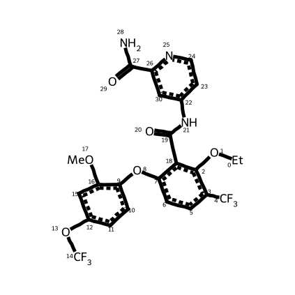 CCOc1c(C(F)(F)F)ccc(Oc2ccc(OC(F)(F)F)cc2OC)c1C(=O)Nc1ccnc(C(N)=O)c1